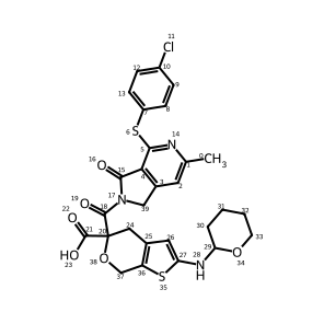 Cc1cc2c(c(Sc3ccc(Cl)cc3)n1)C(=O)N(C(=O)C1(C(=O)O)Cc3cc(NC4CCCCO4)sc3CO1)C2